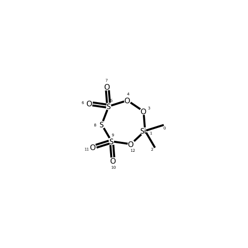 C[Si]1(C)OOS(=O)(=O)SS(=O)(=O)O1